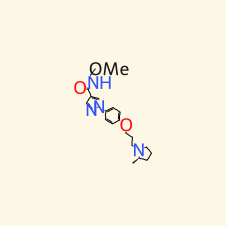 COCNC(=O)c1cnn(-c2ccc(OCCCN3CCC[C@H]3C)cc2)c1